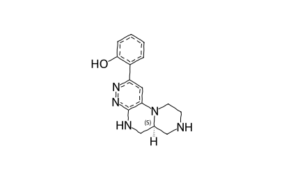 Oc1ccccc1-c1cc2c(nn1)NC[C@@H]1CNCCN21